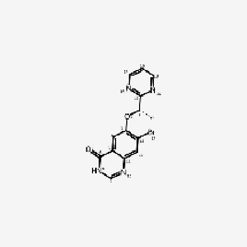 C[C@H](Oc1cc2c(=O)[nH]cnc2cc1Br)c1ncccn1